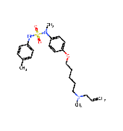 C=CCN(C)CCCCCOc1ccc(N(C)S(=O)(=O)Nc2ccc(C)cc2)cc1